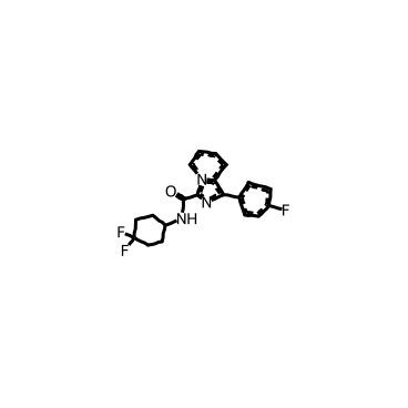 O=C(NC1CCC(F)(F)CC1)c1nc(-c2ccc(F)cc2)c2ccccn12